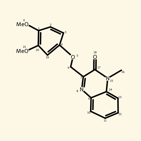 COc1ccc(OCc2nc3ccccc3n(C)c2=O)cc1OC